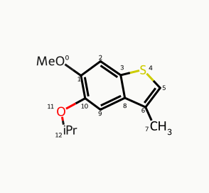 COc1cc2scc(C)c2cc1OC(C)C